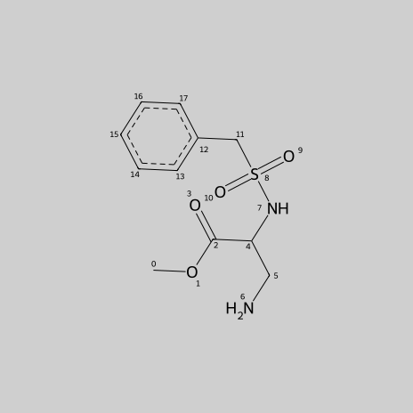 COC(=O)C(CN)NS(=O)(=O)Cc1ccccc1